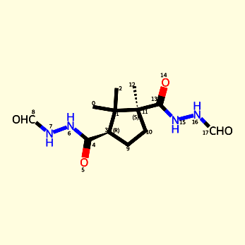 CC1(C)[C@H](C(=O)NNC=O)CC[C@]1(C)C(=O)NNC=O